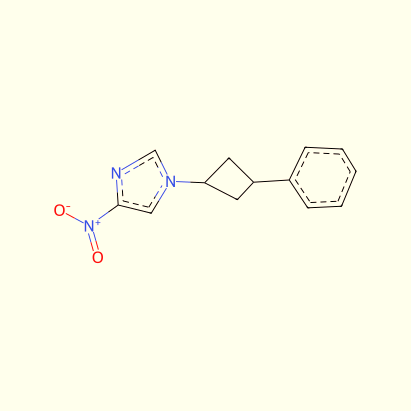 O=[N+]([O-])c1cn(C2CC(c3ccccc3)C2)cn1